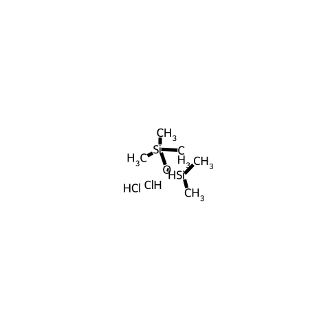 C[SiH](C)O[Si](C)(C)C.Cl.Cl